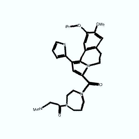 CNCC(=O)N1CCCN(C(=O)c2cc(-c3cccs3)c3n2CCc2cc(OC)c(OC(C)C)cc2-3)CC1